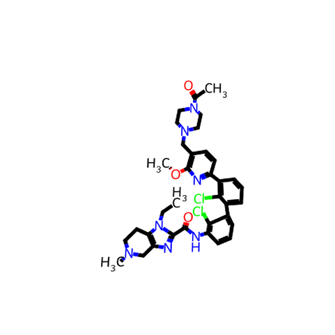 CCn1c(C(=O)Nc2cccc(-c3cccc(-c4ccc(CN5CCN(C(C)=O)CC5)c(OC)n4)c3Cl)c2Cl)nc2c1CCN(C)C2